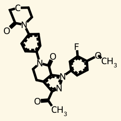 COc1ccc(-n2nc(C(C)=O)c3c2C(=O)N(c2ccc(N4CCCCC4=O)cc2)CC3)cc1F